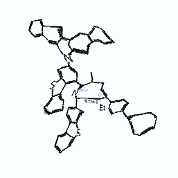 CC[C@H]1/C(c2ccc(-c3ccccc3)cc2)=C/CC(C)/C(c2cc(-n3c4cc5ccccc5cc4c4cc5ccccc5cc43)cc3sc4ccccc4c23)=N\C1c1ccc2c(c1)sc1ccccc12